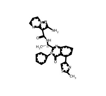 Cc1nc(-c2cccc3nc([C@H](C)NC(=O)c4c(N)nn5cccnc45)n(-c4ccccc4)c(=O)c23)cs1